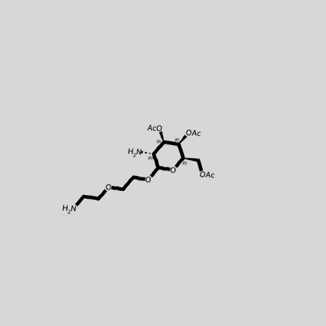 CC(=O)OC[C@H]1OC(OCCOCCN)[C@H](N)[C@@H](OC(C)=O)[C@H]1OC(C)=O